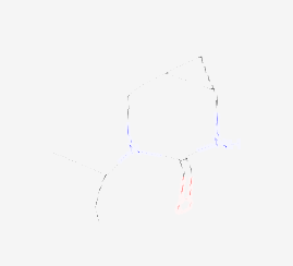 CC(C)N1CC2CC2NC1=O